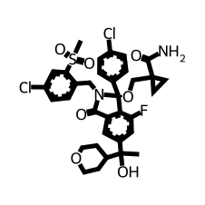 CC(O)(c1cc(F)c2c(c1)C(=O)N(Cc1ccc(Cl)cc1S(C)(=O)=O)[C@@]2(OCC1(C(N)=O)CC1)c1ccc(Cl)cc1)C1CCOCC1